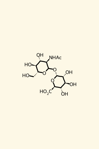 CC(=O)N[C@H]1C(O[C@H]2O[C@H](C(=O)O)[C@@H](O)[C@H](O)[C@H]2O)O[C@H](CO)[C@@H](O)[C@@H]1O